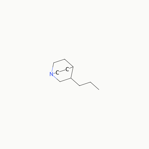 CCCC1CN2CCC1CC2